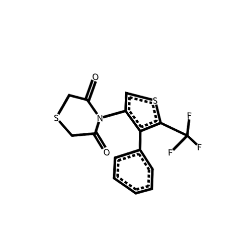 O=C1CSCC(=O)N1c1csc(C(F)(F)F)c1-c1ccccc1